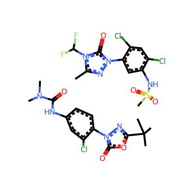 CN(C)C(=O)Nc1ccc(-n2nc(C(C)(C)C)oc2=O)c(Cl)c1.Cc1nn(-c2cc(NS(C)(=O)=O)c(Cl)cc2Cl)c(=O)n1C(F)F